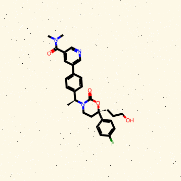 C[C@@H](c1ccc(-c2cncc(C(=O)N(C)C)c2)cc1)N1CC[C@](CCCO)(c2ccc(F)cc2)OC1=O